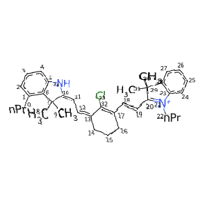 CCCc1cccc2c1C(C)(C)C(=CC=C1CCCC(C=CC3=[N+](CCC)c4ccccc4C3(C)C)=C1Cl)N2